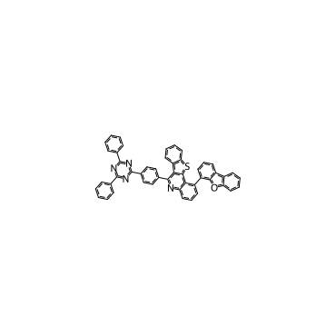 c1ccc(-c2nc(-c3ccccc3)nc(-c3ccc(-c4nc5cccc(-c6cccc7c6oc6ccccc67)c5c5sc6ccccc6c45)cc3)n2)cc1